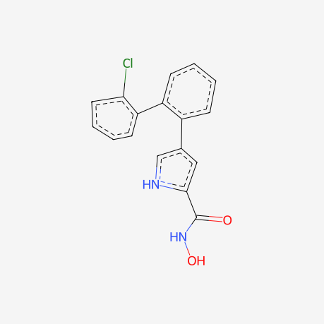 O=C(NO)c1cc(-c2ccccc2-c2ccccc2Cl)c[nH]1